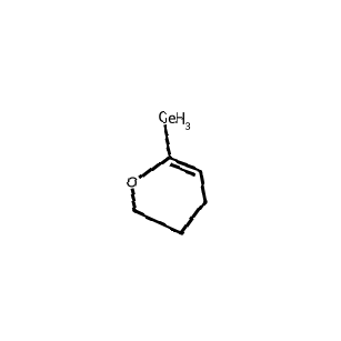 [GeH3][C]1=CCCCO1